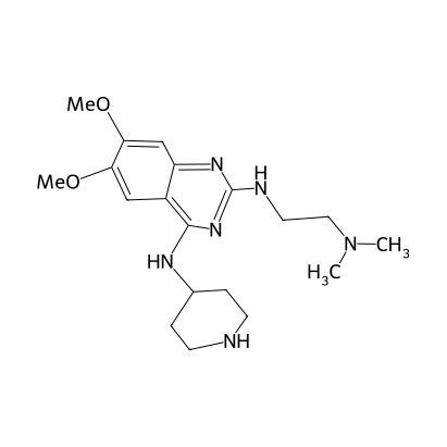 COc1cc2nc(NCCN(C)C)nc(NC3CCNCC3)c2cc1OC